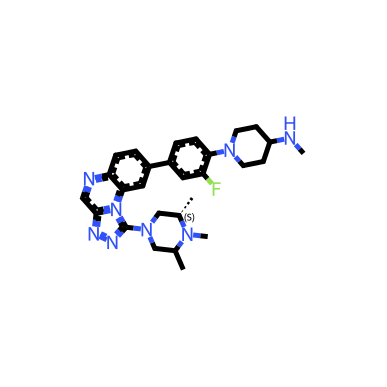 CNC1CCN(c2ccc(-c3ccc4ncc5nnc(N6CC(C)N(C)[C@@H](C)C6)n5c4c3)cc2F)CC1